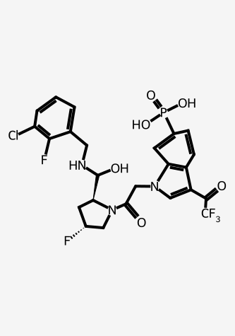 O=C(Cn1cc(C(=O)C(F)(F)F)c2ccc(P(=O)(O)O)cc21)N1C[C@H](F)C[C@H]1C(O)NCc1cccc(Cl)c1F